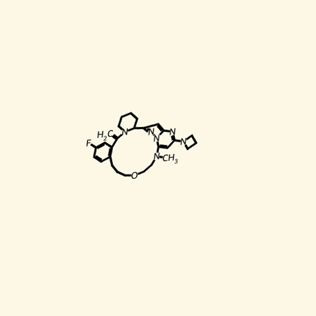 C=C1c2cc(F)ccc2CCCOCCN(C)c2cc(N3CCC3)nc3cc(nn23)C2CCCCN12